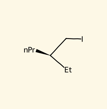 CCC[C@H](CC)CI